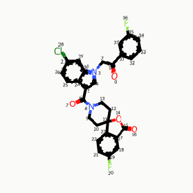 O=C(Cn1cc(C(=O)N2CCC3(CC2)OC(=O)c2cc(F)ccc23)c2ccc(Cl)cc21)c1cccc(F)c1